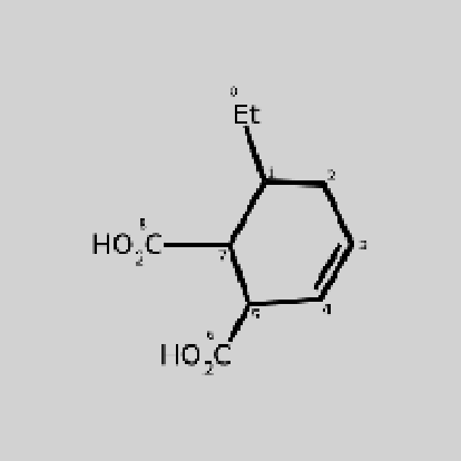 CCC1CC=CC(C(=O)O)C1C(=O)O